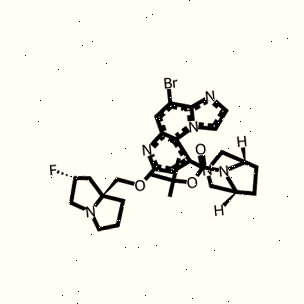 CC(C)(C)OC(=O)N1[C@@H]2CC[C@H]1CN(c1cc(OC[C@@]34CCCN3C[C@H](F)C4)nc3cc(Br)c4nccn4c13)C2